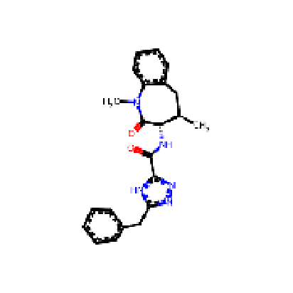 C[C@@H]1Cc2ccccc2N(C)C(=O)[C@H]1NC(=O)c1nnc(Cc2ccccc2)[nH]1